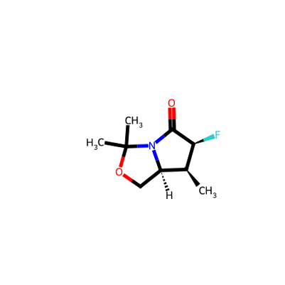 C[C@@H]1[C@H](F)C(=O)N2[C@@H]1COC2(C)C